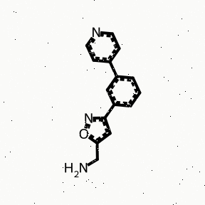 NCc1cc(-c2cccc(-c3ccncc3)c2)no1